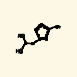 CC(C)c1ccn(OB(O)O)n1